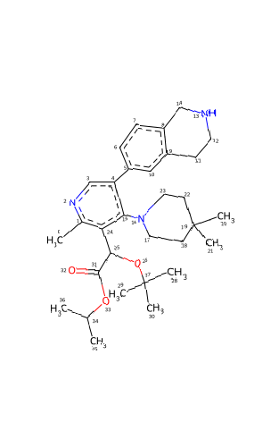 Cc1ncc(-c2ccc3c(c2)CCNC3)c(N2CCC(C)(C)CC2)c1C(OC(C)(C)C)C(=O)OC(C)C